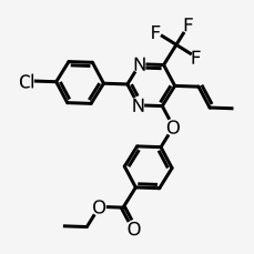 C/C=C/c1c(Oc2ccc(C(=O)OCC)cc2)nc(-c2ccc(Cl)cc2)nc1C(F)(F)F